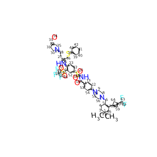 CC1(C)CCC(CN2CCN(c3ccc(C(=O)NS(=O)(=O)c4ccc(N[C@H](CCN5CC[C@H](C=O)C5)CSc5ccccc5)c(S(=O)(=O)C(F)(F)F)c4)cc3)CC2)=C(C23CC(C(F)F)(C2)C3)C1